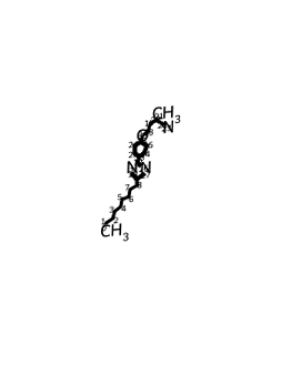 CCCCCCCCCc1cnc(-c2ccc(OCCC(C)C#N)cc2)nc1